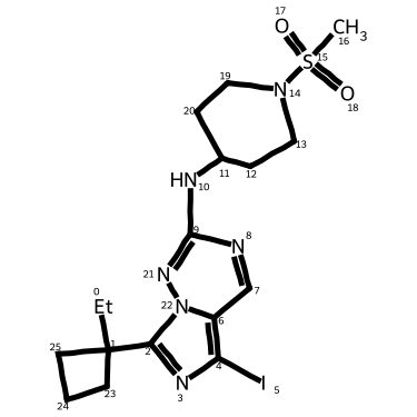 CCC1(c2nc(I)c3cnc(NC4CCN(S(C)(=O)=O)CC4)nn23)CCC1